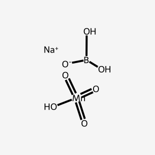 [Na+].[O-]B(O)O.[O]=[Mn](=[O])(=[O])[OH]